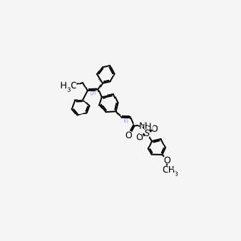 CC/C(=C(\c1ccccc1)c1ccc(/C=C/C(=O)NS(=O)(=O)c2ccc(OC)cc2)cc1)c1ccccc1